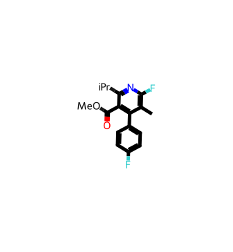 COC(=O)c1c(C(C)C)nc(F)c(C)c1-c1ccc(F)cc1